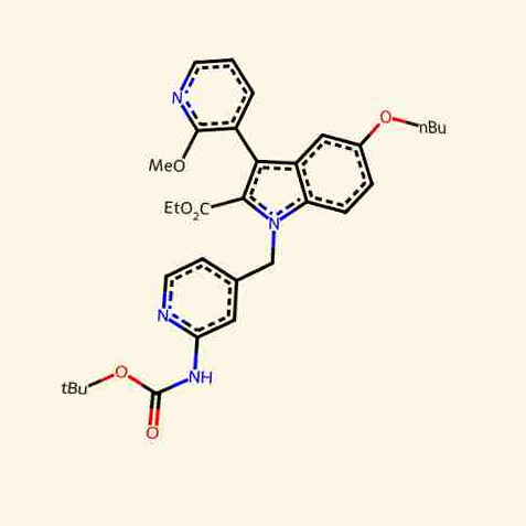 CCCCOc1ccc2c(c1)c(-c1cccnc1OC)c(C(=O)OCC)n2Cc1ccnc(NC(=O)OC(C)(C)C)c1